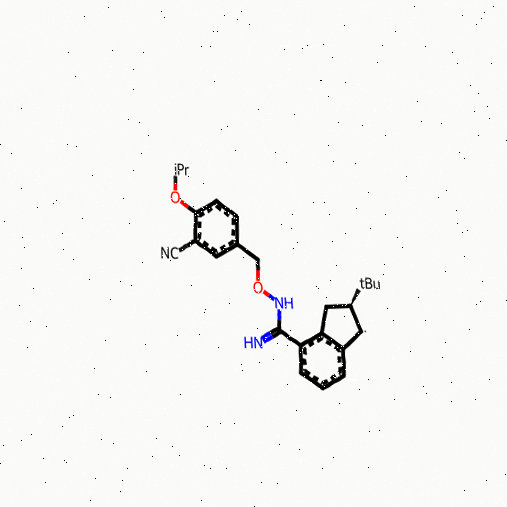 CC(C)Oc1ccc(CONC(=N)c2cccc3c2C[C@@H](C(C)(C)C)[CH]3)cc1C#N